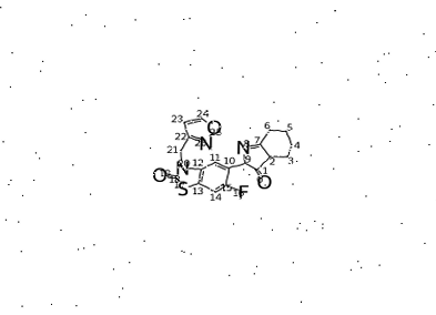 O=C1C2CCCCC2=NC1c1cc2c(cc1F)sc(=O)n2Cc1ccon1